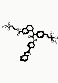 CC(C)(C)/C=C/c1ccc(C(C(=O)Nc2ccc(-c3cc4ccccc4o3)cc2)C2CCCc3cc(C(=O)NCCS(=O)(=O)O)ccc32)cc1